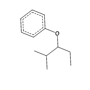 CCC(Oc1ccccc1)C(C)C